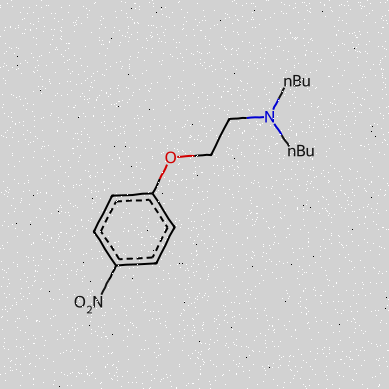 CCCCN(CCCC)CCOc1ccc([N+](=O)[O-])cc1